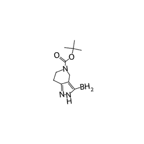 Bc1[nH]nc2c1CN(C(=O)OC(C)(C)C)CC2